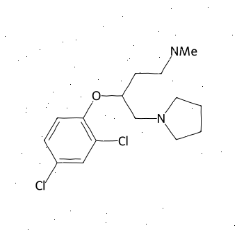 CNCCC(CN1CCCC1)Oc1ccc(Cl)cc1Cl